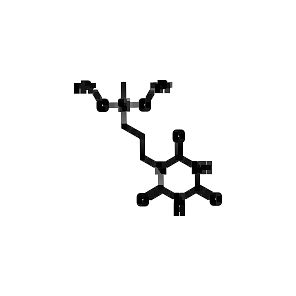 CCCO[Si](C)(CCCn1c(=O)[nH]c(=O)[nH]c1=O)OCCC